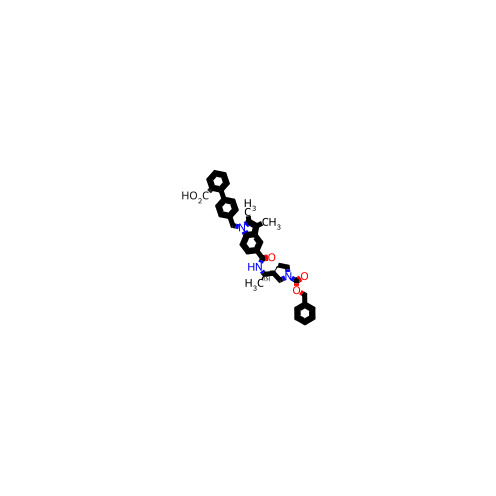 Cc1c(C)n(Cc2ccc(-c3ccccc3C(=O)O)cc2)c2ccc(C(=O)N[C@@H](C)[C@@H]3CCN(C(=O)OCc4ccccc4)C3)cc12